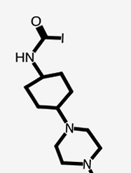 CN1CCN(C2CCC(NC(=O)I)CC2)CC1